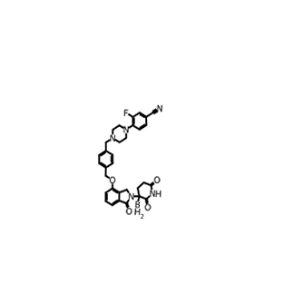 BC1(N2Cc3c(OCc4ccc(CN5CCN(c6ccc(C#N)cc6F)CC5)cc4)cccc3C2=O)CCC(=O)NC1=O